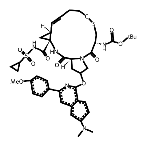 COc1ccc(-c2cc3cc(N(C)C)ccc3c(OC3C[C@H]4C(=O)N[C@]5(C(=O)NS(=O)(=O)C6CC6)C[C@H]5/C=C\CCCSC[C@H](NC(=O)OC(C)(C)C)C(=O)N4C3)n2)cc1